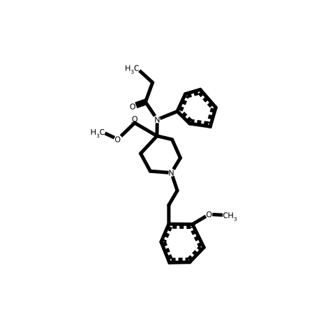 CCC(=O)N(c1ccccc1)C1(C(=O)OC)CCN(CCc2ccccc2OC)CC1